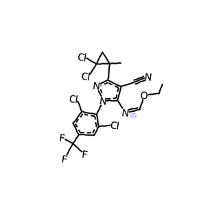 CCO/C=N\c1c(C#N)c(C2(C)CC2(Cl)Cl)nn1-c1c(Cl)cc(C(F)(F)F)cc1Cl